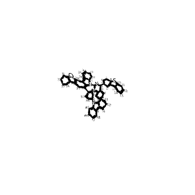 c1ccc2c(-c3ccc4sc5ccccc5c4c3)nc(-n3c4ccccc4c4c5oc6ccccc6c5cc(-c5ccc(-n6c7ccccc7c7ccccc76)cc5)c43)nc2c1